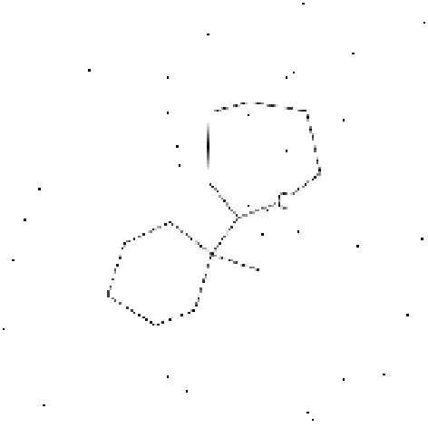 CC1(C2CCCCCC2)CCCCC1